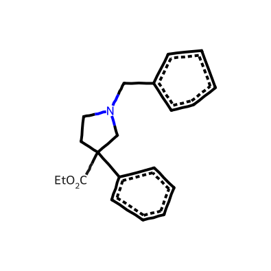 CCOC(=O)C1(c2ccccc2)CCN(Cc2ccccc2)C1